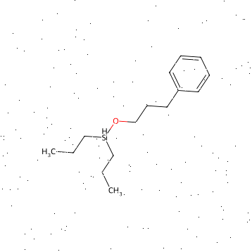 CCC[SiH](CCC)OCCCc1ccccc1